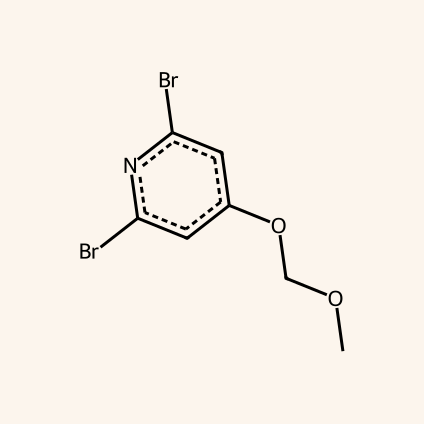 COCOc1cc(Br)nc(Br)c1